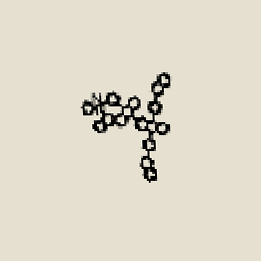 c1cc(-c2c3ccccc3c(-c3ccc4c(-c5ccc(-c6ccc7ccccc7c6)cc5)c5ccccc5c(-c5ccc(-c6ccc7ccccc7c6)cc5)c4c3)c3ccccc23)cc(-c2nc3ccccc3n2-c2cccc3ccccc23)c1